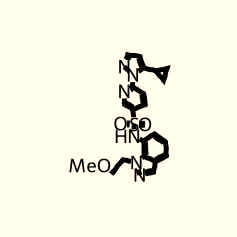 COCCn1ncc2cccc(NS(=O)(=O)c3ccc(-n4nccc4C4CC4)nc3)c21